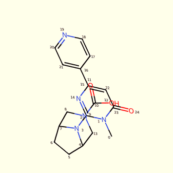 Cn1c(N2C3CCC2CN(C(=O)O)C3)nc(-c2ccncc2)cc1=O